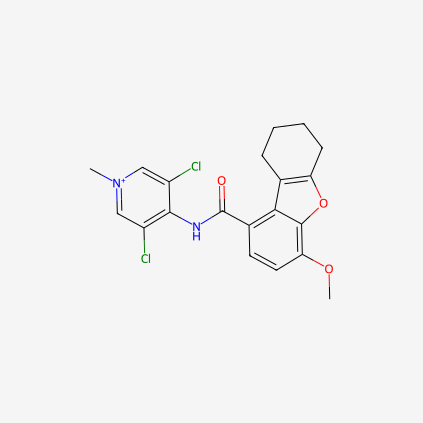 COc1ccc(C(=O)Nc2c(Cl)c[n+](C)cc2Cl)c2c3c(oc12)CCCC3